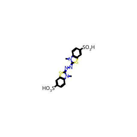 Cn1c(=NN=c2sc3cc(S(=O)(=O)O)ccc3n2C)sc2cc(S(=O)(=O)O)ccc21